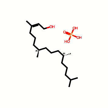 CC(=CCO)CCC[C@H](C)CCC[C@H](C)CCCC(C)C.O=P(O)(O)O